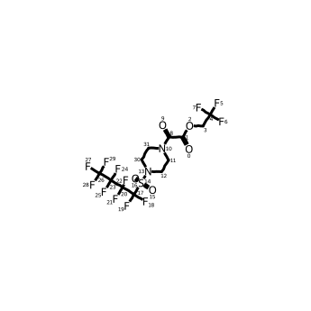 O=C(OCC(F)(F)F)C(=O)N1CCN(S(=O)(=O)C(F)(F)C(F)(F)C(F)(F)C(F)(F)F)CC1